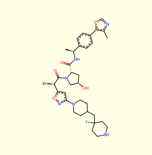 Cc1ncsc1-c1ccc([C@H](C)NC(=O)[C@@H]2C[C@@H](O)CN2C(=O)[C@@H](c2cc(N3CCC(CC4(F)CCNCC4)CC3)no2)C(C)C)cc1